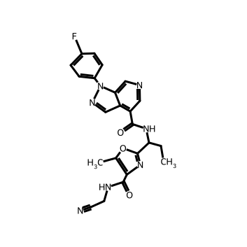 CCC(NC(=O)c1cncc2c1cnn2-c1ccc(F)cc1)c1nc(C(=O)NCC#N)c(C)o1